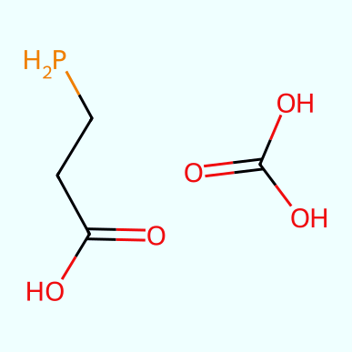 O=C(O)CCP.O=C(O)O